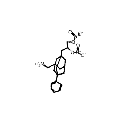 NCC12CC3CC(CC(CO[N+](=O)[O-])O[N+](=O)[O-])(C1)CC(c1ccccc1)(C3)C2